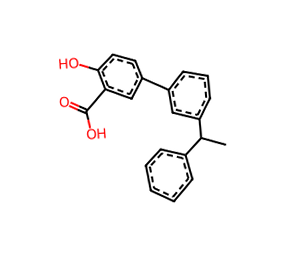 CC(c1ccccc1)c1cccc(-c2ccc(O)c(C(=O)O)c2)c1